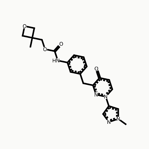 Cn1cc(-n2ccc(=O)c(Cc3cccc(NC(=O)OCC4(C)COC4)c3)n2)cn1